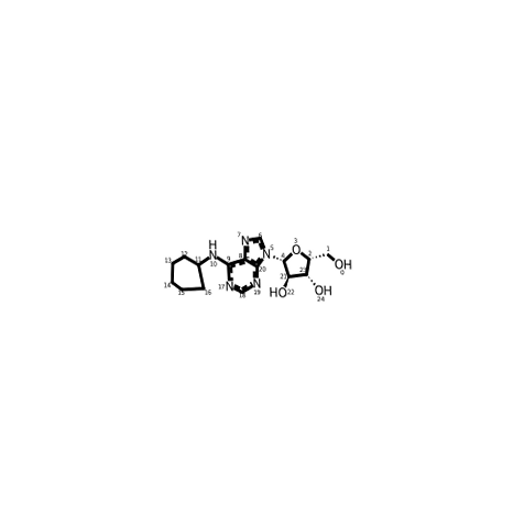 OC[C@H]1O[C@@H](n2cnc3c(NC4CCCCC4)ncnc32)[C@H](O)[C@H]1O